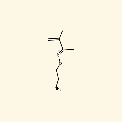 C=C(C)/C(C)=N/OCCN